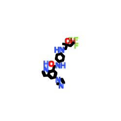 CC(O)(CN[C@H]1CC[C@H](NC(=O)c2cc(-n3ccnc3)cc3cc[nH]c23)CC1)CC(F)(F)F